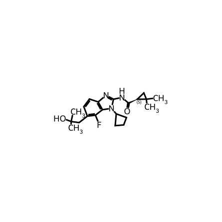 CC(C)(O)Cc1ccc2nc(NC(=O)[C@H]3CC3(C)C)n(C3CCC3)c2c1F